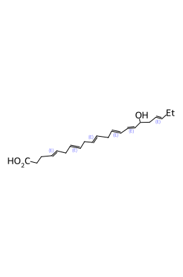 CC/C=C/CC(O)/C=C/C=C/C/C=C/C/C=C/C/C=C/CCC(=O)O